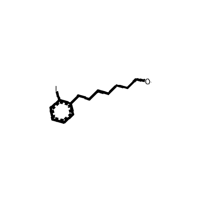 [O]CCCCCCCc1ccccc1I